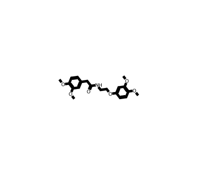 COc1ccc(CC(=O)NCCOc2ccc(OC)c(OC)c2)cc1OC